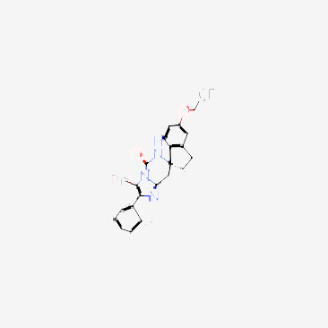 O=C1N[C@@]2(CCc3cc(OCC(F)(F)F)ccc32)Cc2nc(-c3ccccc3)c(Br)n21